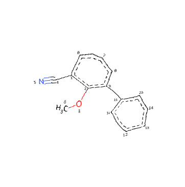 COc1c(C#N)cccc1-c1ccccc1